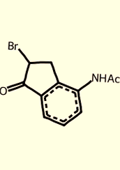 CC(=O)Nc1cccc2c1CC(Br)C2=O